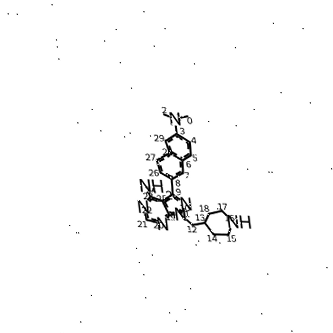 CN(C)c1ccc2cc(-c3nn(CC4CCNCC4)c4ncnc(N)c34)ccc2c1